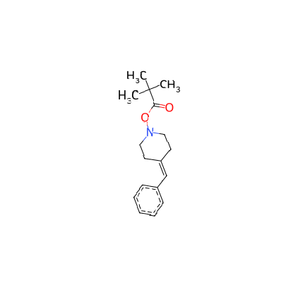 CC(C)(C)C(=O)ON1CCC(=Cc2ccccc2)CC1